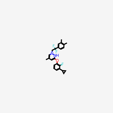 CC1=CN(CC(F)(F)c2ccc(C)c(C)c2)NC(Oc2cccc(C3CC3)c2F)=C1